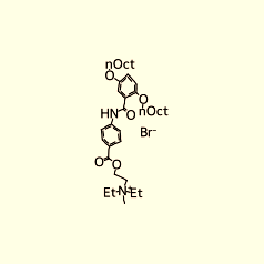 CCCCCCCCOc1ccc(OCCCCCCCC)c(C(=O)Nc2ccc(C(=O)OCC[N+](C)(CC)CC)cc2)c1.[Br-]